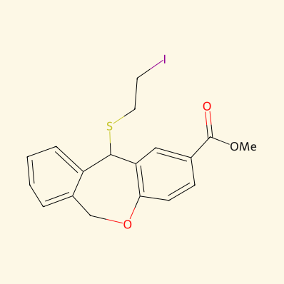 COC(=O)c1ccc2c(c1)C(SCCI)c1ccccc1CO2